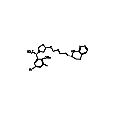 COc1c(F)cc(C(C)C)cc1[C@@H](C(=O)O)N1CC[C@@H](OCCCCC[C@H]2CCc3cccnc3N2)C1